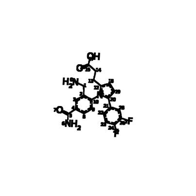 NCc1cc(C(N)=O)ccc1-n1c(CCC(=O)O)ccc1-c1ccc(F)c(F)c1